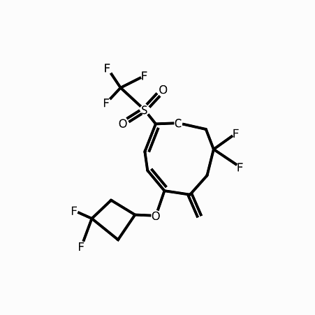 C=C1CC(F)(F)CC/C(S(=O)(=O)C(F)(F)F)=C\C=C/1OC1CC(F)(F)C1